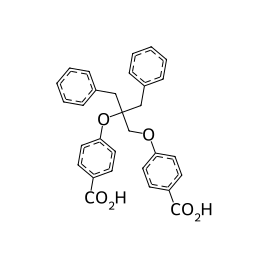 O=C(O)c1ccc(OCC(Cc2ccccc2)(Cc2ccccc2)Oc2ccc(C(=O)O)cc2)cc1